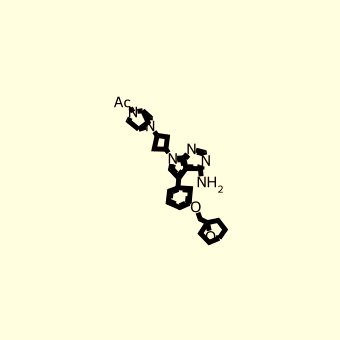 CC(=O)N1CC2CC1CN2C1CC(n2cc(-c3cccc(OCC45CCC(CC4)O5)c3)c3c(N)ncnc32)C1